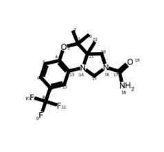 CC1(C)Oc2ccc(C(F)(F)F)cc2N2CN(C(N)=O)CC21C